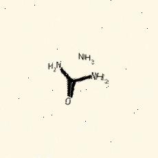 N.NC(N)=O